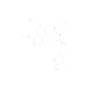 CN(C)c1ncc(S(=O)(=O)N[C@H]2CCN([C@H](Cc3cc4ccnc(N)c4cc3OC(F)(F)F)C(=O)O)C2=O)cc1Cl